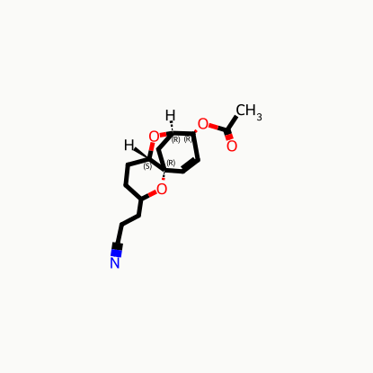 CC(=O)O[C@@H]1C=C[C@]23C[C@H]1O[C@H]2CCC(CCC#N)O3